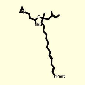 C/C=C(\C)CC(C)(CCCCCCCCC=CCC=CCCCCC)OC(CCCC)CCN1CC1